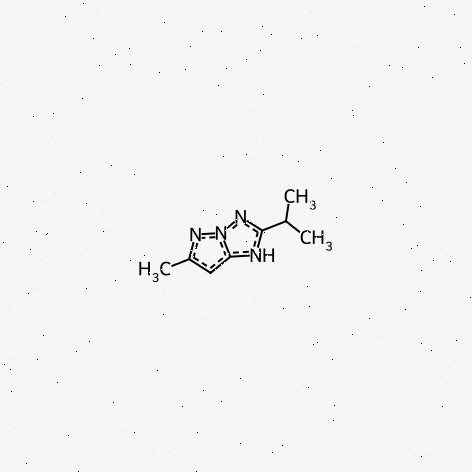 Cc1cc2[nH]c(C(C)C)nn2n1